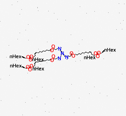 CCCCCCC#CCOC(=O)OC(C/C=C\CCCCCCCCOC(=O)CCN(C)CCN(CCN(C)CCC(=O)OCCCCCCCC/C=C\CC(CCCCCC)OC(=O)OCC#CCCCCCC)CCN(C)CCC(=O)OCCCCCCCC/C=C\CC(CCCCCC)OC(=O)OCC#CCCCCCC)CCCCCC